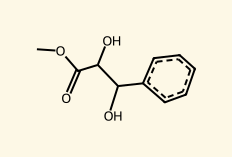 COC(=O)C(O)C(O)c1ccccc1